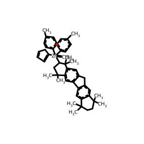 [CH2]=[Zr]([C]1=CC=CC1)([c]1ccc(C)cc1)([c]1ccc(C)cc1)[CH]1CC(C)(C)c2cc3c(cc2C1(C)C)Cc1cc2c(cc1-3)C(C)(C)CCC2(C)C